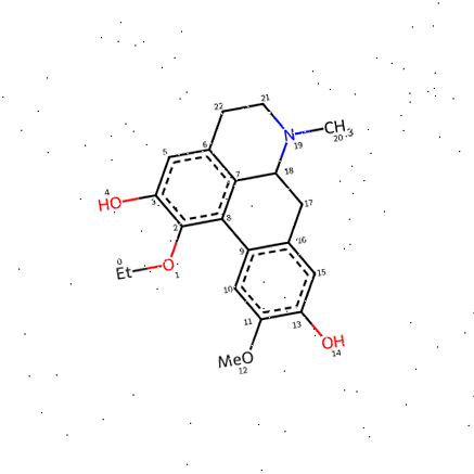 CCOc1c(O)cc2c3c1-c1cc(OC)c(O)cc1CC3N(C)CC2